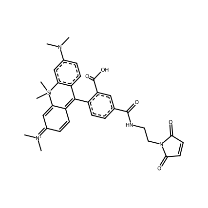 CN(C)c1ccc2c(c1)[Si](C)(C)C1=CC(=[N+](C)C)C=CC1=C2c1ccc(C(=O)NCCN2C(=O)C=CC2=O)cc1C(=O)O